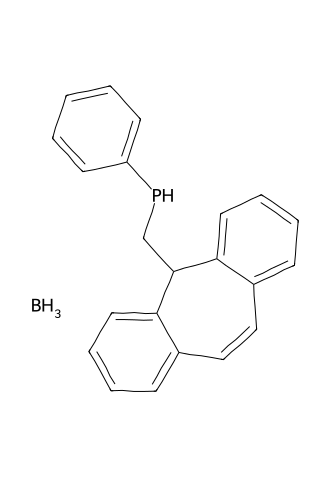 B.C1=Cc2ccccc2C(CPc2ccccc2)c2ccccc21